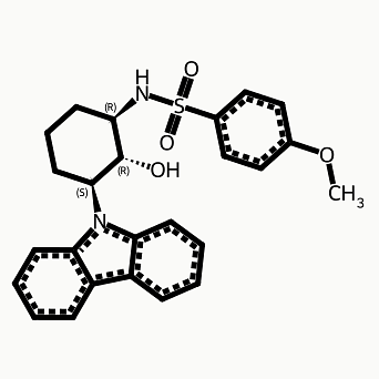 COc1ccc(S(=O)(=O)N[C@@H]2CCC[C@H](n3c4ccccc4c4ccccc43)[C@H]2O)cc1